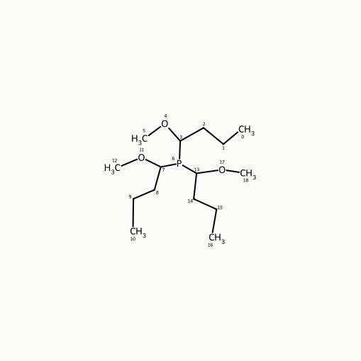 CCCC(OC)P(C(CCC)OC)C(CCC)OC